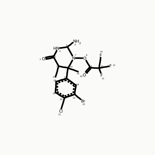 CC1C(=O)NC(N)N(OC(=O)C(F)(F)F)C1(C)c1ccc(Cl)c(Br)c1